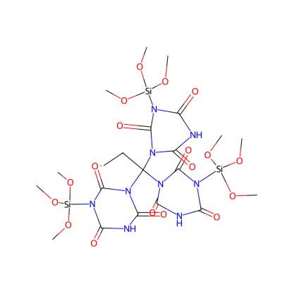 [CH2]CC(n1c(=O)[nH]c(=O)n([Si](OC)(OC)OC)c1=O)(n1c(=O)[nH]c(=O)n([Si](OC)(OC)OC)c1=O)n1c(=O)[nH]c(=O)n([Si](OC)(OC)OC)c1=O